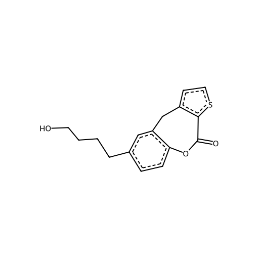 O=C1Oc2ccc(CCCCO)cc2Cc2ccsc21